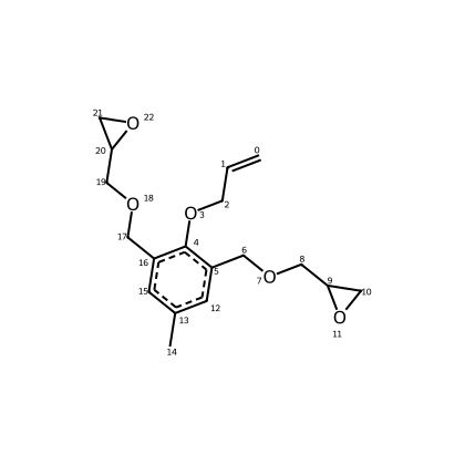 C=CCOc1c(COCC2CO2)cc(C)cc1COCC1CO1